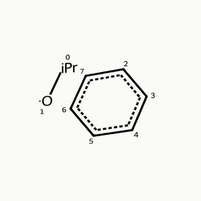 CC(C)[O].c1ccccc1